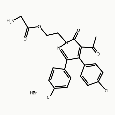 Br.CC(=O)c1c(-c2ccc(Cl)cc2)c(-c2ccc(Cl)cc2)nn(CCOC(=O)CN)c1=O